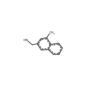 Cc1cc(C[NH])cc2ccccc12